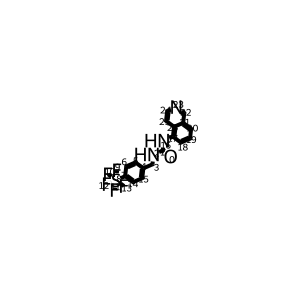 O=C(NCc1ccc(S(F)(F)(F)(F)F)cc1)Nc1cccc2cnccc12